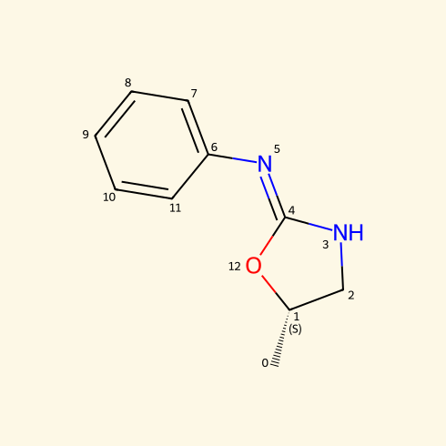 C[C@H]1CNC(=Nc2ccccc2)O1